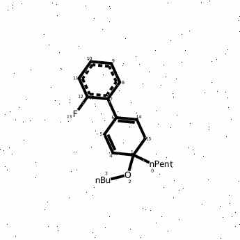 CCCCCC1(OCCCC)C=CC(c2ccccc2F)=CC1